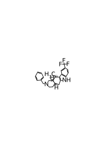 C[C@@H]1c2c([nH]c3ccc(C(F)(F)F)cc23)C[C@@H]2CCN(Cc3ccccc3)C[C@H]21